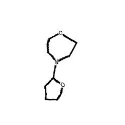 C1COC(N2CCOCC2)C1